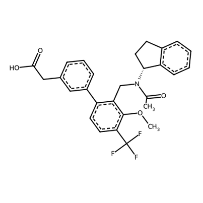 COc1c(C(F)(F)F)ccc(-c2cccc(CC(=O)O)c2)c1CN(C(C)=O)[C@@H]1CCc2ccccc21